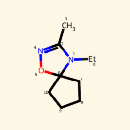 CCN1C(C)=NOC12CCCC2